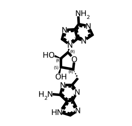 Nc1ncnc2c1ncn2[C@@H]1O[C@H](Cc2nc(N)c3[nH]cnc3n2)[C@@H](O)[C@H]1O